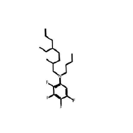 CCCCN(CC(C)CCC(CC)CCC)c1cc(F)c(F)c(F)c1F